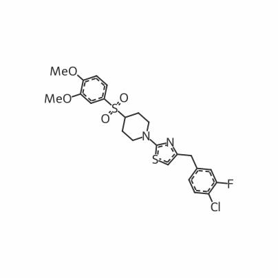 COc1ccc(S(=O)(=O)C2CCN(c3nc(Cc4ccc(Cl)c(F)c4)cs3)CC2)cc1OC